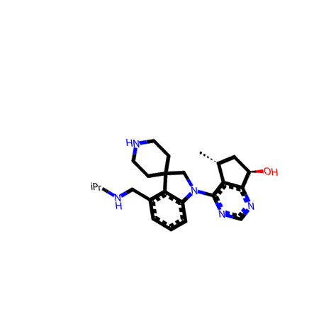 CC(C)NCc1cccc2c1C1(CCNCC1)CN2c1ncnc2c1[C@H](C)C[C@H]2O